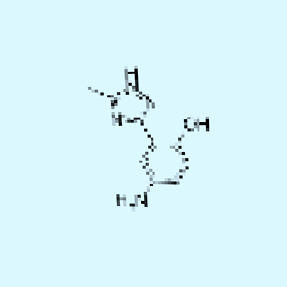 Cc1nc(-c2cc(N)ccc2O)n[nH]1